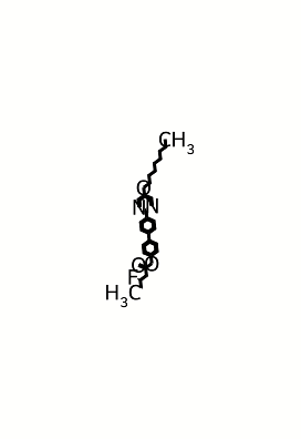 CCCCCCCCOc1cnc(-c2ccc(-c3ccc(OC(=O)C[C@@H](F)CC)cc3)cc2)nc1